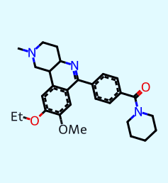 CCOc1cc2c(cc1OC)C(c1ccc(C(=O)N3CCCCC3)cc1)=NC1CCN(C)CC21